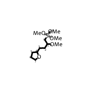 COC(CCC1CCCO1)C[Si](OC)(OC)OC